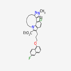 CCOC(=O)c1c(CCCOc2cccc3cc(F)ccc23)c2ccc(Cl)c3c2n1CCCCCCc1nn(C)c(CC)c1-3